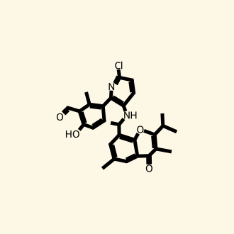 Cc1cc(C(C)Nc2ccc(Cl)nc2-c2ccc(O)c(C=O)c2C)c2oc(C(C)C)c(C)c(=O)c2c1